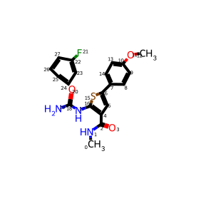 CNC(=O)c1cc(-c2ccc(OC)cc2)sc1NC(N)=O.Fc1ccccc1